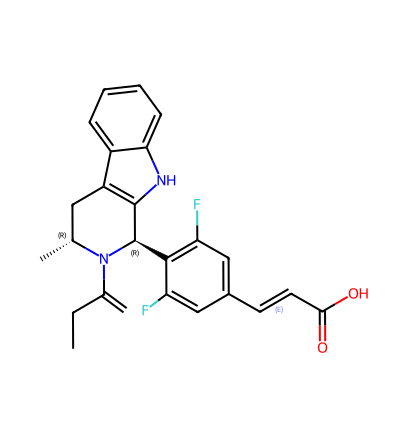 C=C(CC)N1[C@H](c2c(F)cc(/C=C/C(=O)O)cc2F)c2[nH]c3ccccc3c2C[C@H]1C